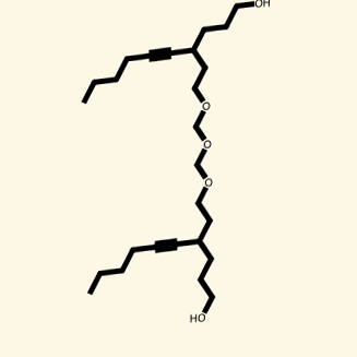 CCCCC#CC(CCCO)CCOCOCOCCC(C#CCCCC)CCCO